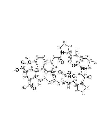 COc1ccc2c(CC(=O)N3CCC[C@H]3C(=O)N[C@@H](CC(C)C)C(=O)NCC(=O)N3CCC[C@H]3C(=O)N[C@H](CCCCNc3ccc([N+](=O)[O-])cc3[N+](=O)[O-])C(=O)O)cc(=O)oc2c1